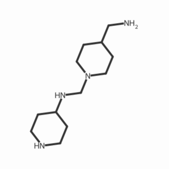 NCC1CCN(CNC2CCNCC2)CC1